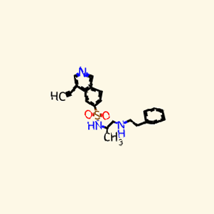 C#Cc1cncc2ccc(S(=O)(=O)N[C@H](C)CNCCc3ccccc3)cc12